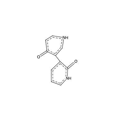 O=c1cc[nH]cc1-c1ccc[nH]c1=O